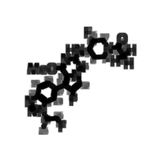 [2H]C([2H])([2H])C(=O)N1CC[C@H](Nc2nc(OC)c3c(-c4ccc5nnn([C@H](C)CF)c5c4)c(F)cn3n2)[C@H](F)C1